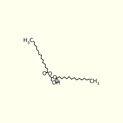 CCCCCCCCCCCCCCC(=O)OCC(CO)OC(=O)CCCCCCCCCCCCCC